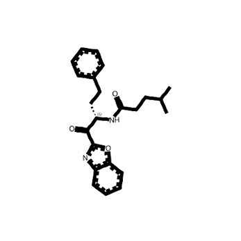 CC(C)CCC(=O)N[C@@H](CCc1ccccc1)C(=O)c1nc2ccccc2o1